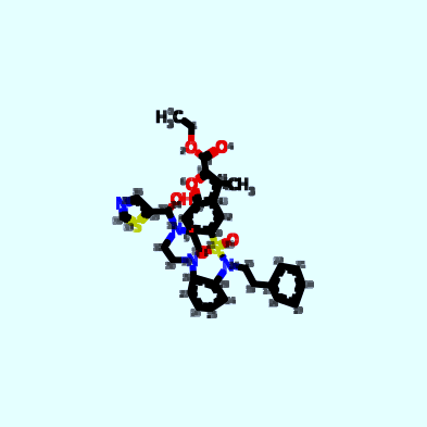 CCOC(=O)c1oc2ccc(S(=O)(=O)N(CCc3ccccc3)c3ccccc3N3CCN(C(O)c4cncs4)CC3)cc2c1C